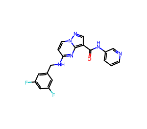 O=C(Nc1cccnc1)c1cnn2ccc(NCc3cc(F)cc(F)c3)nc12